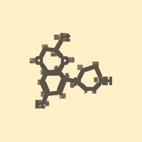 CCc1cc2c(c(N3CCNCC3)c1)OC(CC)CO2